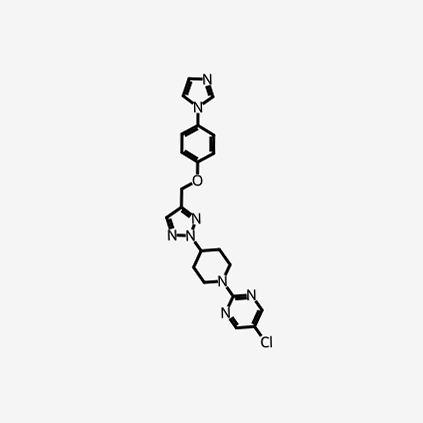 Clc1cnc(N2CCC(n3ncc(COc4ccc(-n5ccnc5)cc4)n3)CC2)nc1